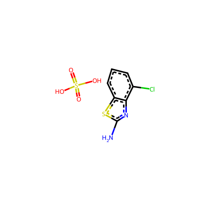 Nc1nc2c(Cl)cccc2s1.O=S(=O)(O)O